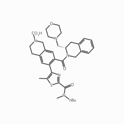 CCCCN(C)C(=O)c1nc(-c2cc3c(cc2C(=O)N2Cc4ccccc4C[C@H]2CN2CCOCC2)CN(C(=O)O)CC3)c(C)s1